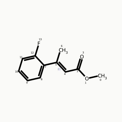 COC(=O)/C=C(\C)c1ccccc1F